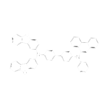 c1ccc(N(c2ccc(-c3ccc(N(c4ccc5oc6ccccc6c5c4)c4ccc5oc6ccccc6c5c4)cc3)cc2)c2cc3ccccc3c3ccccc23)cc1